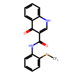 O=C(Nc1ccccc1SC(F)(F)F)c1c[nH]c2ccccc2c1=O